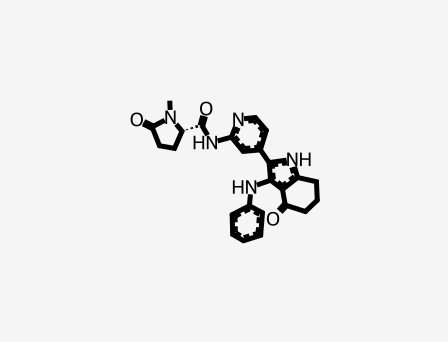 CN1C(=O)CC[C@H]1C(=O)Nc1cc(-c2[nH]c3c(c2Nc2ccccc2)C(=O)CCC3)ccn1